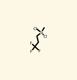 C[Si](Cl)(Cl)CCC(F)(F)F